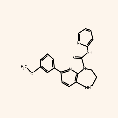 O=C(Nc1ccccn1)N1CCCNc2ccc(-c3cccc(OC(F)(F)F)c3)nc21